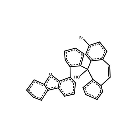 OC1(c2ccccc2-c2cccc3c2oc2ccccc23)c2ccccc2C=Cc2ccc(Br)cc21